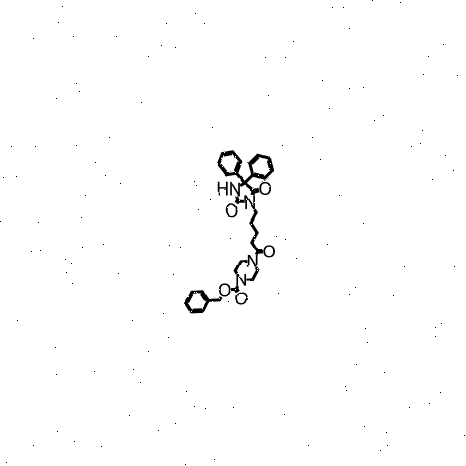 O=C(CCCCN1C(=O)NC(c2ccccc2)(c2ccccc2)C1=O)N1CCN(C(=O)OCc2ccccc2)CC1